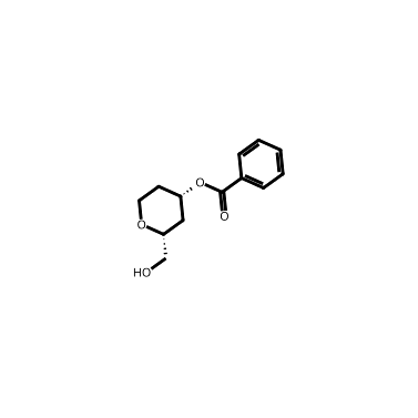 O=C(O[C@H]1CCO[C@@H](CO)C1)c1ccccc1